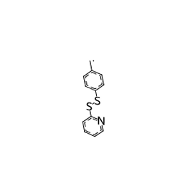 [CH2]c1ccc(SSc2ccccn2)cc1